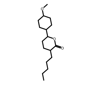 CCCCCC1CCC(C2CCC(OC)CC2)OC1=O